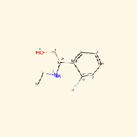 CCN[C@H](CO)c1ccccc1F